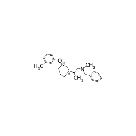 Cc1cccc(O[C@@H]2CCC[C@H](C(C)CN(C)Cc3ccccc3)C2)c1